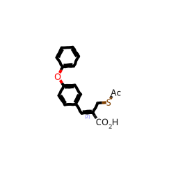 CC(=O)SC/C(=C\c1ccc(Oc2ccccc2)cc1)C(=O)O